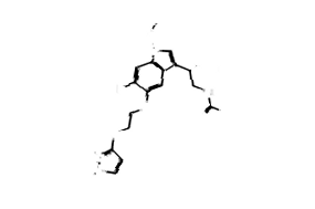 CC(=O)NC[C@H](C)c1cn(SI)c2cc(F)c(OCCOc3ccn(C)n3)cc12